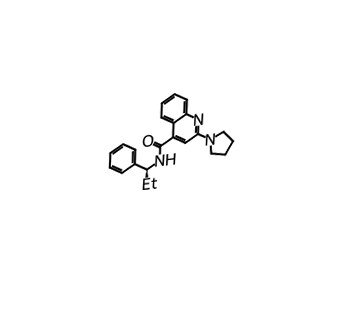 CC[C@H](NC(=O)c1cc(N2CCCC2)nc2ccccc12)c1ccccc1